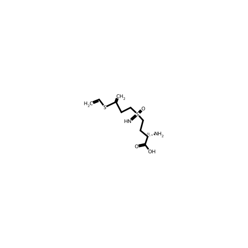 C=CSC(=C)CCS(=N)(=O)CC[C@H](N)C(=O)O